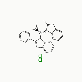 CC1=Cc2ccccc2[CH]1[Zr+2]([CH]1C(c2ccccc2)=Cc2ccccc21)=[Si](C)C.[Cl-].[Cl-]